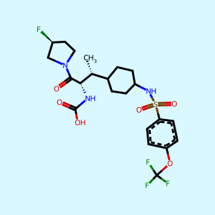 C[C@H](C1CCC(NS(=O)(=O)c2ccc(OC(F)(F)F)cc2)CC1)[C@H](NC(=O)O)C(=O)N1CC[C@H](F)C1